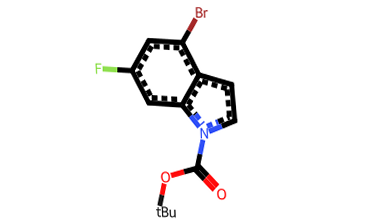 CC(C)(C)OC(=O)n1ccc2c(Br)cc(F)cc21